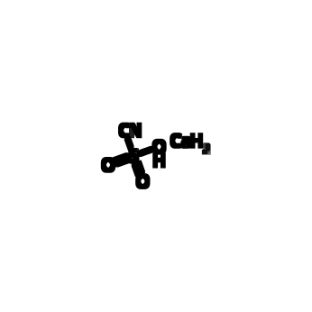 N#CS(=O)(=O)O.[CaH2]